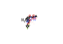 Bc1c(OCc2ccc(F)cc2F)nc(C)n(-c2cc(C(=O)NCC(O)C(=O)NC3CC3)ccc2C)c1=O